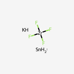 [F][Zr]([F])([F])[F].[KH].[SnH2]